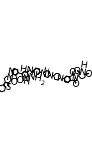 C[C@H]1CN(C2CCN(c3ccc4c(c3)C(=O)N(C3CCC(=O)NC3=O)C4=O)CC2)CCN1c1ccc(Nc2cc(-c3ccnc(N4CCc5c(sc6c5CCCC6)C4=O)c3CO)cnc2N)nc1